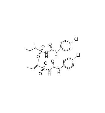 CC=C(C)S(=O)(=O)NC(=O)Nc1ccc(Cl)cc1.CCC(C)S(=O)(=O)NC(=O)Nc1ccc(Cl)cc1